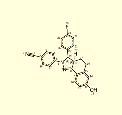 N#Cc1ccc(N2N=C3c4ccc(O)cc4CC[C@@H]3[C@@H]2c2ccc(F)cc2)cc1